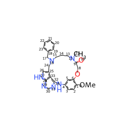 COc1ccc2cc1OCC(=O)N(C)CCCN(Cc1ccccc1)Cc1c[nH]c3ncnc(c13)N2